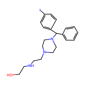 OCCNCCN1CCN(C(c2ccccc2)c2ccc(I)cc2)CC1